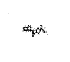 CC(NC(=O)c1cnc2ccccc2n1)C1CCN(C(=O)[C@H](C)N)CC1